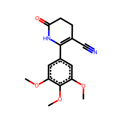 COc1cc(C2=C(C#N)CCC(=O)N2)cc(OC)c1OC